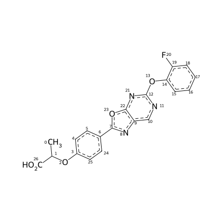 CC(Oc1ccc(-c2nc3cnc(Oc4ccccc4F)nc3o2)cc1)C(=O)O